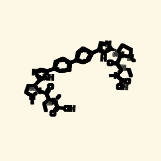 CC[C@@H](C(=O)N1[C@H](c2ncc(-c3ccc(-c4ccc(-c5cnc([C@@H]6CCN(C)N6C(=O)[C@H](CC)N(C)C(=O)O)[nH]5)cc4)cc3)[nH]2)CCN1C)N(C)C(=O)O